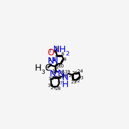 Cc1nn2c(C(N)=O)cccc2c1-c1nc2c(c(NCc3ccccc3)n1)CCCCC2